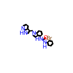 O=C(Nc1ccccc1Br)Nc1cccc2c1ccn2Cc1c[nH]c2ncccc12